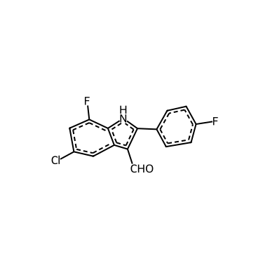 O=Cc1c(-c2ccc(F)cc2)[nH]c2c(F)cc(Cl)cc12